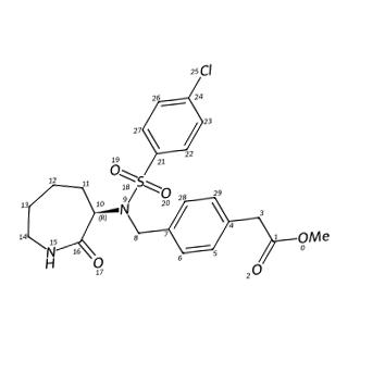 COC(=O)Cc1ccc(CN([C@@H]2CCCCNC2=O)S(=O)(=O)c2ccc(Cl)cc2)cc1